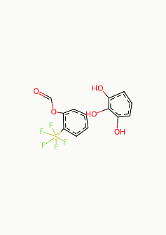 O=COc1ccccc1S(F)(F)(F)(F)F.Oc1cccc(O)c1O